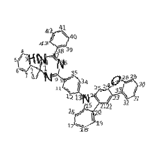 CC1(c2ccccc2)N=C(c2ccc(-n3c4ccccc4c4cc5c(cc43)oc3ccccc35)cc2)N=C(c2ccccc2)N1